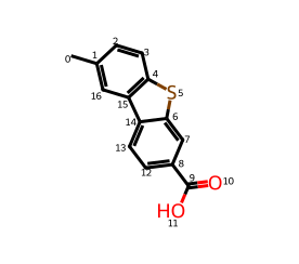 Cc1ccc2sc3cc(C(=O)O)ccc3c2c1